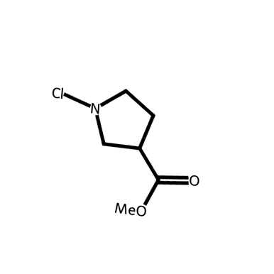 COC(=O)C1CCN(Cl)C1